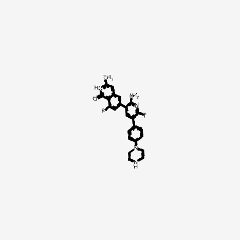 Cc1cc2cc(-c3cc(-c4ccc(N5CCNCC5)cc4)c(F)nc3N)cc(F)c2c(=O)[nH]1